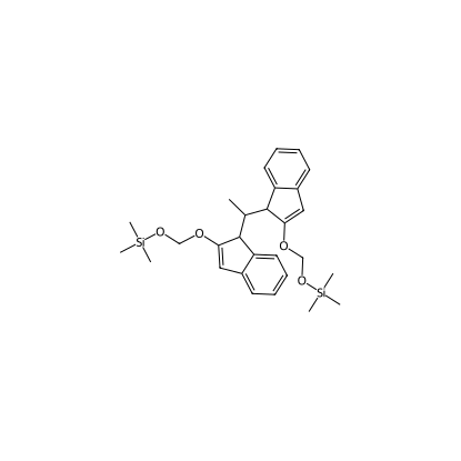 CC(C1C(OCO[Si](C)(C)C)=Cc2ccccc21)C1C(OCO[Si](C)(C)C)=Cc2ccccc21